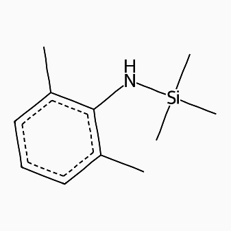 Cc1cccc(C)c1N[Si](C)(C)C